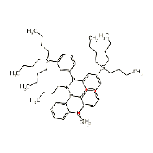 CCCCN(P(c1cccc([Si](CCCC)(CCCC)CCCC)c1)c1cccc([Si](CCCC)(CCCC)CCCC)c1)P(c1ccccc1OC)c1ccccc1OC